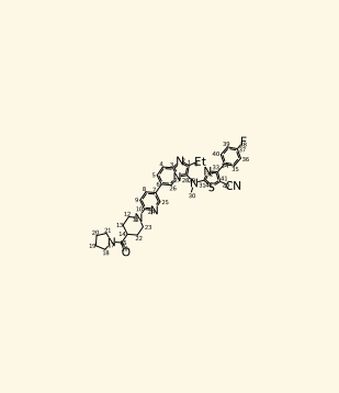 CCc1nc2ccc(-c3ccc(N4CCC(C(=O)N5CCCC5)CC4)nc3)cn2c1N(C)c1nc(-c2ccc(F)cc2)c(C#N)s1